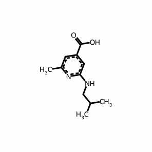 Cc1cc(C(=O)O)cc(NCC(C)C)n1